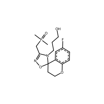 CP(C)(=O)CC1=NOC2(CCOc3ccc(F)cc32)N1CCCO